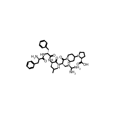 CC(C)C[C@@H](NC(=O)[C@@H](Cc1ccccc1)NC(=O)[C@H](N)Cc1ccccc1)C(=O)N[C@H](CNC(N)N)C(=O)N1CCC(N2CCC[C@H]2C(=O)O)CC1